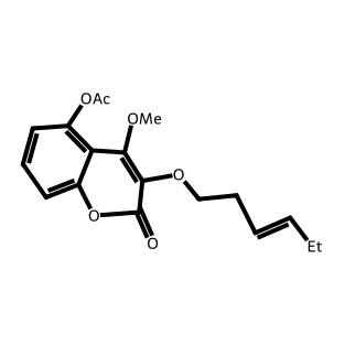 CCC=CCCOc1c(OC)c2c(OC(C)=O)cccc2oc1=O